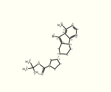 CC(C)(C)OC(=O)N1CC[C@@H](N2CCn3c(c(Br)c4c(N)ncnc43)C2)C1